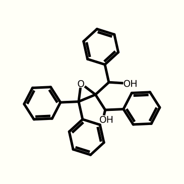 OC(c1ccccc1)C1(C(O)c2ccccc2)OC1(c1ccccc1)c1ccccc1